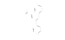 O=C(Cl)c1cc(-c2ccncc2)nc2ccccc12